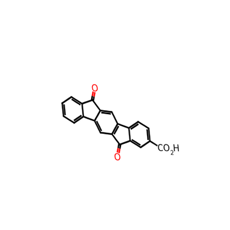 O=C(O)c1ccc2c(c1)c(=O)c1cc3c(cc12)c(=O)c1ccccc13